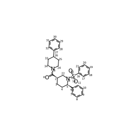 O=C([C@@H]1CC[C@H](c2ccccc2)N(S(=O)(=O)c2ccccc2)C1)N1CCC(c2ccccc2)CC1